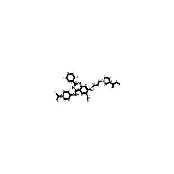 CCC(C)C1CCN(CCCOc2cc3nc(C4CCCCC4)nc(NC4CCN(C(C)C)CC4)c3cc2OC)C1